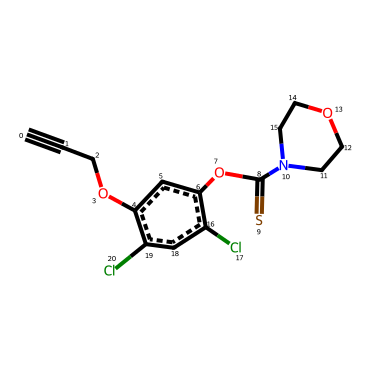 C#CCOc1cc(OC(=S)N2CCOCC2)c(Cl)cc1Cl